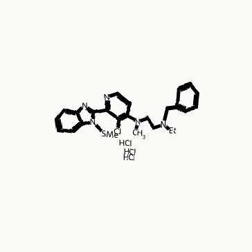 CCN(CCN(C)c1ccnc(-c2nc3ccccc3n2SC)c1Cl)Cc1ccccc1.Cl.Cl.Cl